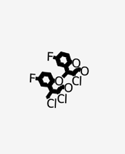 Cc1c(Cl)c(=O)oc2ccc(F)cc12.O=c1oc2ccc(F)cc2c(CCl)c1Cl